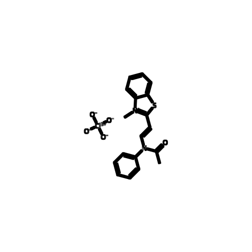 CC(=O)N(C=Cc1sc2ccccc2[n+]1C)c1ccccc1.[O-][Cl+3]([O-])([O-])[O-]